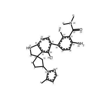 Cc1ccnn1C1CCC2(CNc3ncc(-c4ccc(N)c(C(=O)N(C)C)c4F)c(Cl)c32)C1